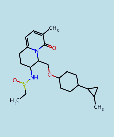 CC[S+]([O-])NC1CCc2ccc(C)c(=O)n2C1COC1CCC(C2CC2C)CC1